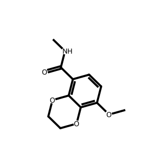 CNC(=O)c1ccc(OC)c2c1OCCO2